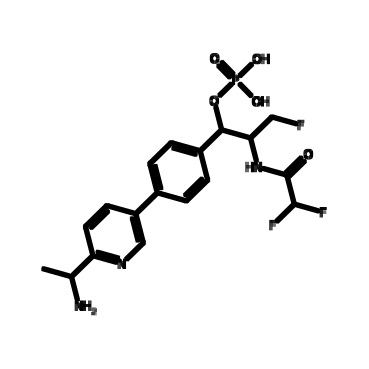 CC(N)c1ccc(-c2ccc(C(OP(=O)(O)O)C(CF)NC(=O)C(F)F)cc2)cn1